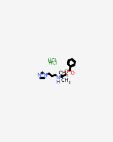 CC(C)(COC(=O)c1ccccc1)NCCCn1ccnc1.Cl.Cl